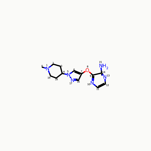 CN1CCC(n2cc(Oc3nccnc3N)cn2)CC1